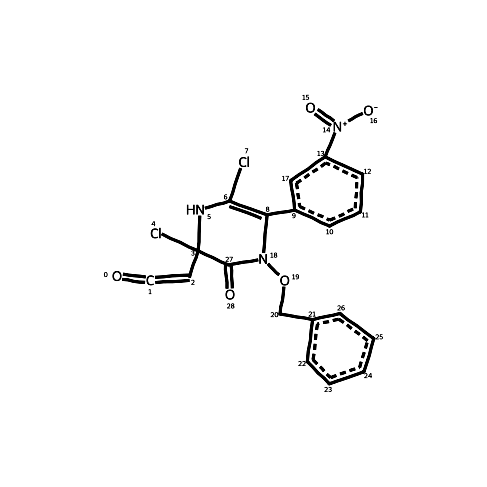 O=C=CC1(Cl)NC(Cl)=C(c2cccc([N+](=O)[O-])c2)N(OCc2ccccc2)C1=O